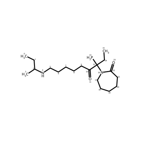 CCC(C)NCCCCCC(=O)C(P)(CC)N1CCCCCC1=O